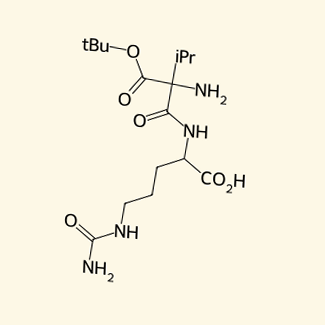 CC(C)C(N)(C(=O)NC(CCCNC(N)=O)C(=O)O)C(=O)OC(C)(C)C